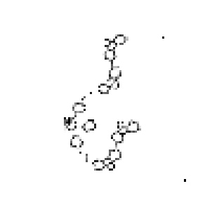 c1ccc(-c2c(-c3ccc(CCCc4ccc5oc6ccc(-c7ccc8oc9ccccc9c8c7)cc6c5c4)cc3)nnn2-c2ccc(CCCc3ccc4oc5ccc(-c6ccc7oc8ccccc8c7c6)cc5c4c3)cc2)cc1